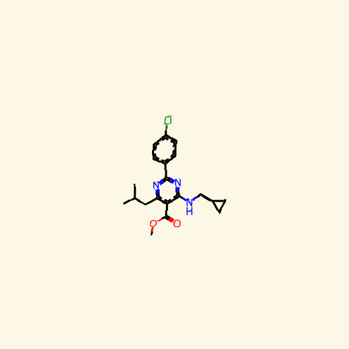 COC(=O)c1c(CC(C)C)nc(-c2ccc(Cl)cc2)nc1NCC1CC1